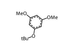 COc1cc(OC)cc(OC(C)(C)C)c1